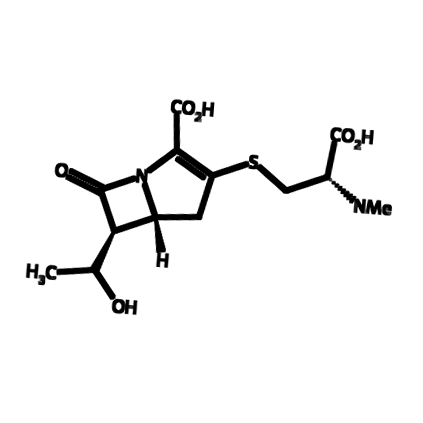 CN[C@H](CSC1=C(C(=O)O)N2C(=O)[C@H](C(C)O)[C@H]2C1)C(=O)O